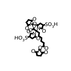 O=C(CCCCCC(C(=O)ON1C(=O)CCC1=O)(N1C(=O)CC(S(=O)(=O)O)C1=O)N1C(=O)CC(S(=O)(=O)O)C1=O)ON1C(=O)CCC1=O